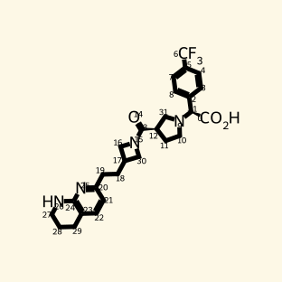 O=C(O)[C@H](c1ccc(C(F)(F)F)cc1)N1CC[C@@H](C(=O)N2CC(CCc3ccc4c(n3)NCCC4)C2)C1